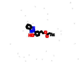 CC(=O)CC(=O)OCCc1ccc(O)c(-n2nc3ccccc3n2)c1